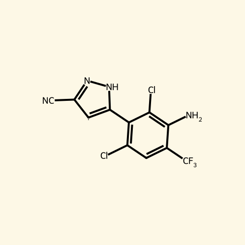 N#Cc1[c]c(-c2c(Cl)cc(C(F)(F)F)c(N)c2Cl)[nH]n1